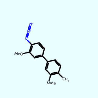 COc1cc(-c2ccc(N=[N+]=[N-])c(OC)c2)ccc1C